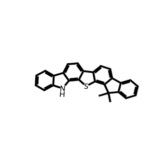 CC1(C)c2ccccc2-c2ccc3c(sc4c3ccc3c5ccccc5[nH]c34)c21